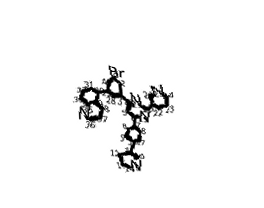 Brc1cc(-c2cc(-c3ccc(-c4cccnc4)cc3)nc(-c3cccnc3)n2)cc(-c2cccc3ncccc23)c1